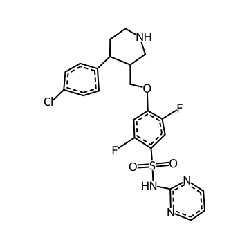 O=S(=O)(Nc1ncccn1)c1cc(F)c(OCC2CNCCC2c2ccc(Cl)cc2)cc1F